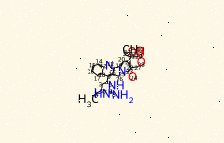 CCCCC(NC(=N)N)c1c2c(nc3ccccc13)-c1cc3c(c(=O)n1C2)COC(=O)[C@]3(O)CC